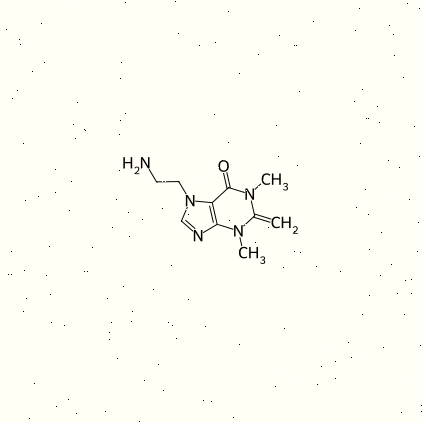 C=C1N(C)C(=O)c2c(ncn2CCN)N1C